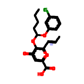 C/C=C/c1oc(C(=O)O)cc(=O)c1OC(CCCC)Oc1cccc(Cl)c1